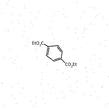 CCOC(=O)c1[c]cc(C(=O)OCC)cc1